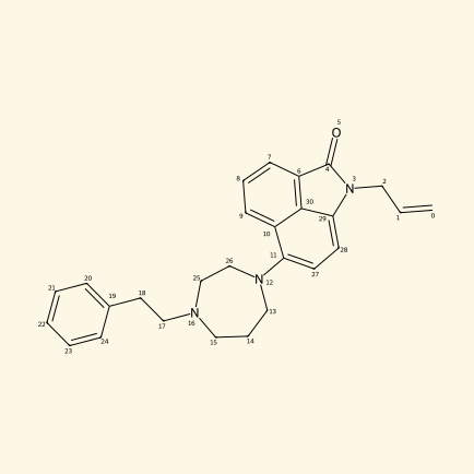 C=CCN1C(=O)c2cccc3c(N4CCCN(CCc5ccccc5)CC4)ccc1c23